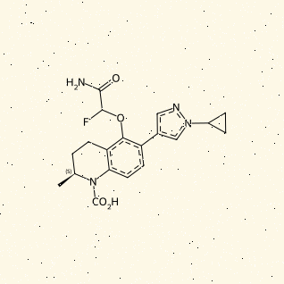 C[C@H]1CCc2c(ccc(-c3cnn(C4CC4)c3)c2OC(F)C(N)=O)N1C(=O)O